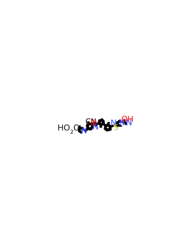 Cc1c(-c2nc3cc(CN4CC[C@@](C)(C(=O)O)C4)cc(C#N)c3o2)cccc1-c1cccc(-c2nc3c(s2)CN(C(O)CN(C)C)C3)c1C